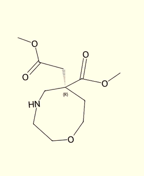 COC(=O)C[C@]1(C(=O)OC)CCOCCNC1